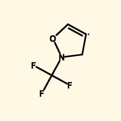 FC(F)(F)N1C[C]=CO1